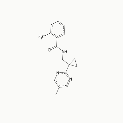 Cc1cnc(C2(CNC(=O)c3ccccc3C(F)(F)F)CC2)nc1